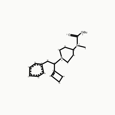 CC(C)COC(=O)N(C)C1CCN(C(Cc2ccccc2)C2=CCC2)CC1